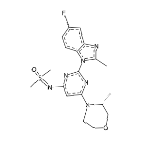 Cc1nc2cc(F)ccc2n1-c1nc(N=S(C)(C)=O)cc(N2CCOC[C@H]2C)n1